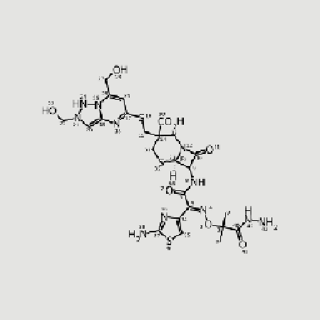 CC(C)(ON=C(C(=O)NC1C(=O)N2CC(CSC3=NC4=CN(CO)NN4C(CO)=C3)(C(=O)O)CS[C@H]12)c1csc(N)n1)C(=O)NN